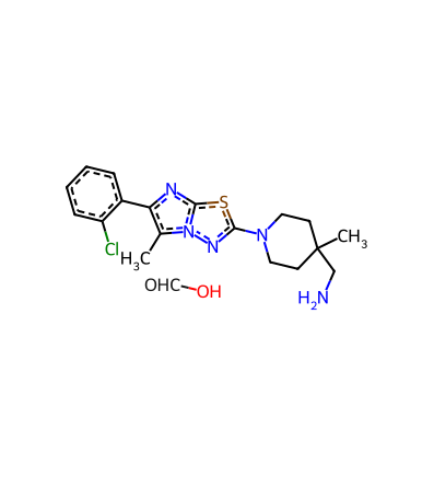 Cc1c(-c2ccccc2Cl)nc2sc(N3CCC(C)(CN)CC3)nn12.O=CO